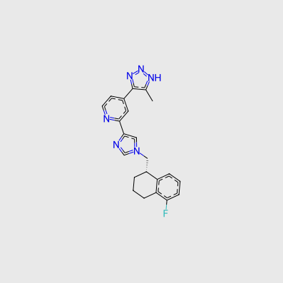 Cc1[nH]nnc1-c1ccnc(-c2cn(C[C@H]3CCCc4c(F)cccc43)cn2)c1